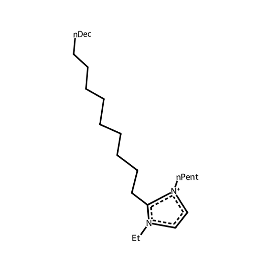 CCCCCCCCCCCCCCCCCCCc1n(CC)cc[n+]1CCCCC